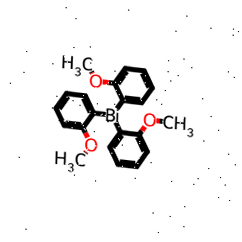 COc1cccc[c]1[Bi]([c]1ccccc1OC)[c]1ccccc1OC